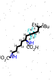 CCCCC(CC)CC(F)(F)C(F)(F)CC(CCCCCNC(=O)O)NC(=O)O